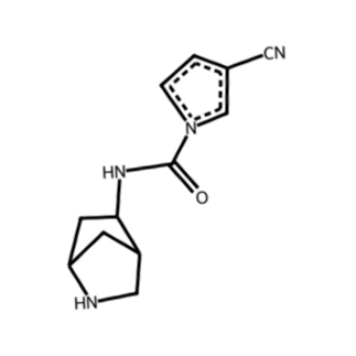 N#Cc1ccn(C(=O)NC2CC3CC2CN3)c1